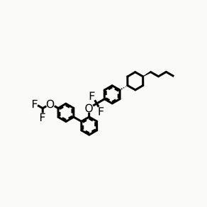 CCCC[C@H]1CC[C@H](c2ccc(C(F)(F)Oc3ccccc3-c3ccc(OC(F)F)cc3)cc2)CC1